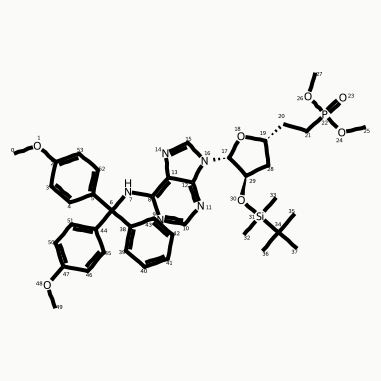 COc1ccc(C(Nc2ncnc3c2ncn3[C@@H]2O[C@H](CCP(=O)(OC)OC)C[C@H]2O[Si](C)(C)C(C)(C)C)(c2ccccc2)c2ccc(OC)cc2)cc1